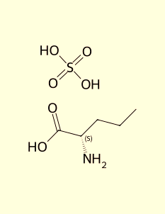 CCC[C@H](N)C(=O)O.O=S(=O)(O)O